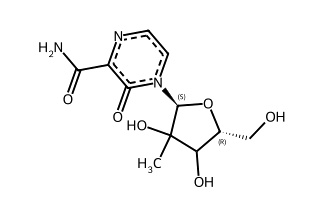 CC1(O)C(O)[C@@H](CO)O[C@@H]1n1ccnc(C(N)=O)c1=O